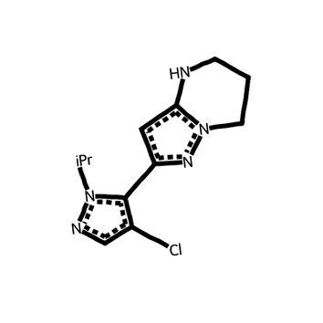 CC(C)n1ncc(Cl)c1-c1cc2n(n1)CCCN2